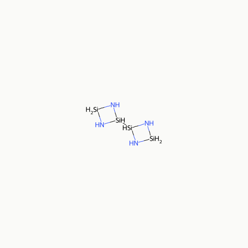 N1[SiH2]N[SiH]1[SiH]1N[SiH2]N1